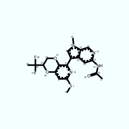 CSc1cc2c(c(-c3cn(C)c4cnc(NC(C)=O)cc34)n1)OCC(C(C)(F)F)O2